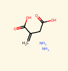 C=C(CC(=O)O)C(=O)O.N.N